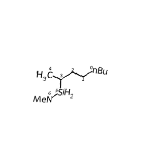 CCCCCCC(C)[SiH2]NC